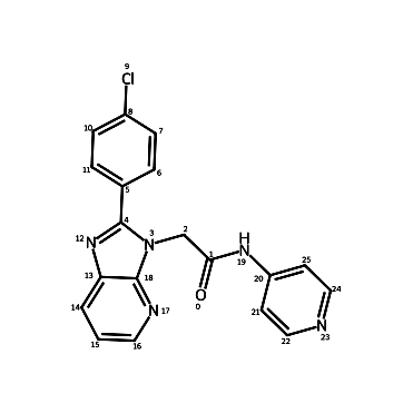 O=C(Cn1c(-c2ccc(Cl)cc2)nc2cccnc21)Nc1ccncc1